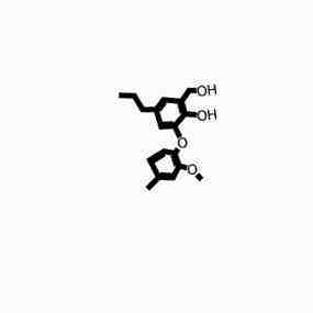 CCCc1cc(CO)c(O)c(Oc2ccc(C)cc2OC)c1